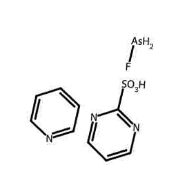 F[AsH2].O=S(=O)(O)c1ncccn1.c1ccncc1